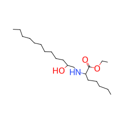 CCCCCCCCCCC(O)CNC(CCCCC)C(=O)OCC